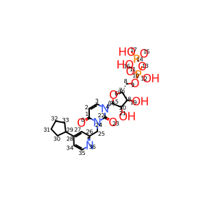 O=c1ccn([C@@H]2O[C@H](COP(=O)(O)OP(=O)(O)O)C(O)C2O)c(=O)n1Cc1cc(C2CCCC2)ccn1